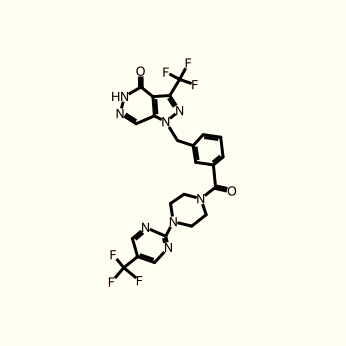 O=C(c1cccc(Cn2nc(C(F)(F)F)c3c(=O)[nH]ncc32)c1)N1CCN(c2ncc(C(F)(F)F)cn2)CC1